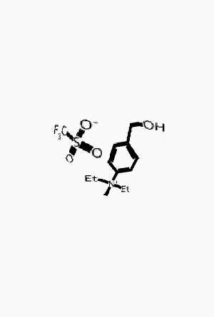 CC[N+](C)(CC)c1ccc(CO)cc1.O=S(=O)([O-])C(F)(F)F